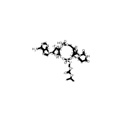 CC(C)OC(=O)OCSP1(=O)OC[C@H]2O[C@@H](n3cnc4c(N)ncnc43)[C@H](F)[C@@H]2OP(=O)(O)OC[C@H]2O[C@@H](n3ccc(=O)[nH]c3=O)[C@H](O1)[C@@H]2F